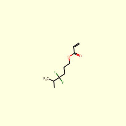 C=CC(=O)OCCCC(F)(F)C(C)C(F)(F)F